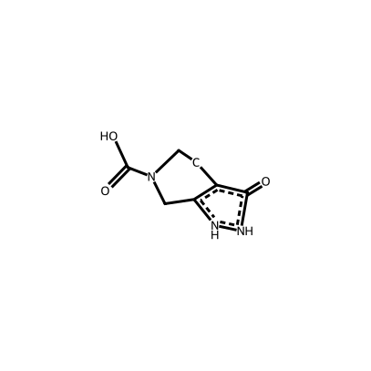 O=C(O)N1CCc2c([nH][nH]c2=O)C1